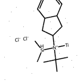 C[SiH](C)[N+]([Ti])(C1CC2C=CC=CC2C1)C(C)(C)C.[Cl-].[Cl-]